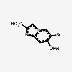 COc1cc2nc(C(=O)O)cn2cc1Br